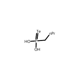 CCCCP(O)(O)=[Te]